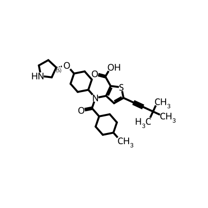 CC1CCC(C(=O)N(c2cc(C#CC(C)(C)C)sc2C(=O)O)C2CCC(O[C@H]3CCNC3)CC2)CC1